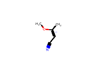 CO/C(C)=C\C#N